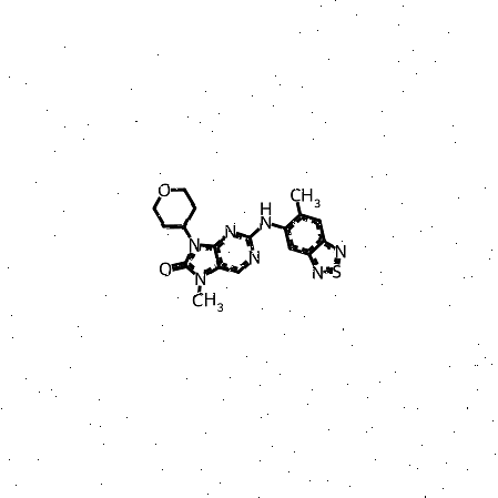 Cc1cc2nsnc2cc1Nc1ncc2c(n1)n(C1CCOCC1)c(=O)n2C